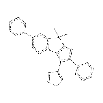 CC1(C)c2cc(-c3ccccc3)ccc2-c2c1oc(-c1ccccc1)c2C1=CCC=C1